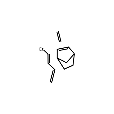 C1=CC2CCC1C2.C=C.C=CC=CCC